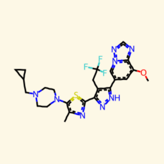 COc1cc(-c2[nH]nc(-c3nc(C)c(N4CCN(CC5CC5)CC4)s3)c2CC(F)(F)F)cn2ncnc12